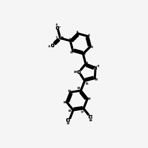 O=[N+]([O-])c1cccc(-c2ncc(-c3ccc(Cl)c(Cl)c3)o2)c1